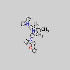 Cc1cc(C)c(N(c2ccc(-n3c4ccccc4c4ccccc43)cc2)c2ccc(-n3c4ccccc4c4c5oc6ccccc6c5ccc43)cc2)c(C)c1